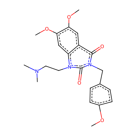 COc1ccc(Cn2c(=O)c3cc(OC)c(OC)cc3n(CCN(C)C)c2=O)cc1